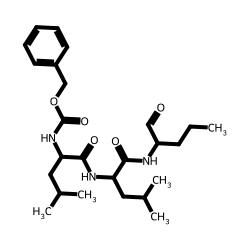 CCCC(C=O)NC(=O)C(CC(C)C)NC(=O)C(CC(C)C)NC(=O)OCc1ccccc1